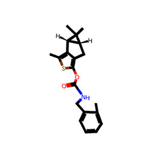 Cc1ccccc1CNC(=O)Oc1sc(C)c2c1C[C@@H]1[C@H]2C1(C)C